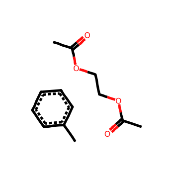 CC(=O)OCCOC(C)=O.Cc1ccccc1